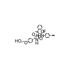 C#Cc1ccc(NC(=O)C([C@@H](C)c2ccccc2)N2C(=O)NC(c3ccc(OCCO)cc3)C2=O)c(F)c1